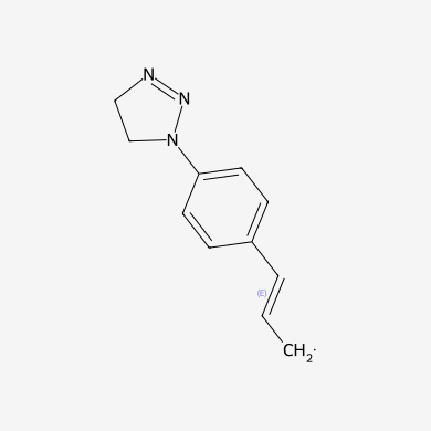 [CH2]/C=C/c1ccc(N2CCN=N2)cc1